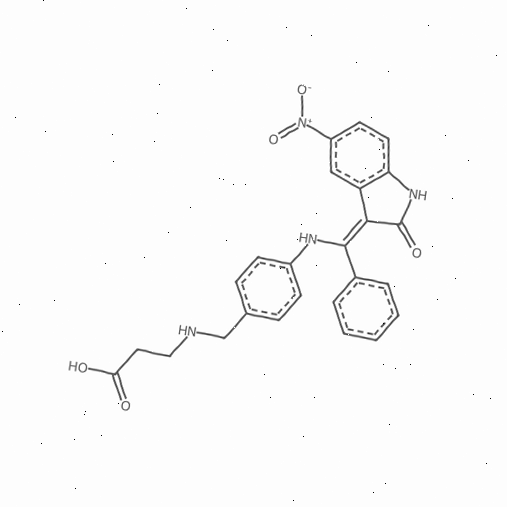 O=C(O)CCNCc1ccc(NC(=C2C(=O)Nc3ccc([N+](=O)[O-])cc32)c2ccccc2)cc1